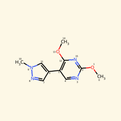 COc1ncc(-c2cnn(C)c2)c(OC)n1